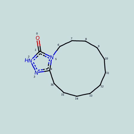 O=c1[nH]nc2n1CCCCCCCCCCC2